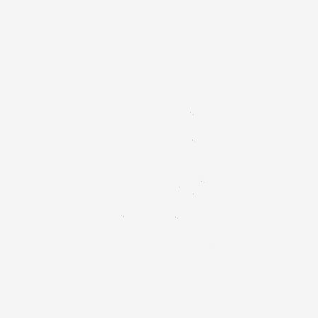 O=S(=O)(CCO)Nc1ccc(-n2cc(-c3cc(F)cc(N4CCC(F)(F)CC4)n3)nn2)c(N2CCC3(CC2)CC3)c1